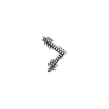 [Al+3].[Al+3].[Al+3].[O-2].[O-2].[O-2].[O-2].[O-2].[O-2].[O-2].[OH-].[OH-].[OH-].[OH-].[OH-].[OH-].[OH-].[Zr+4].[Zr+4].[Zr+4]